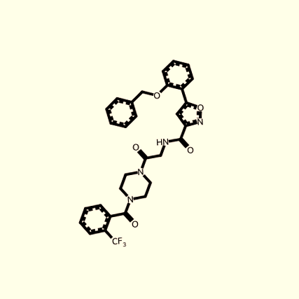 O=C(NCC(=O)N1CCN(C(=O)c2ccccc2C(F)(F)F)CC1)c1cc(-c2ccccc2OCc2ccccc2)on1